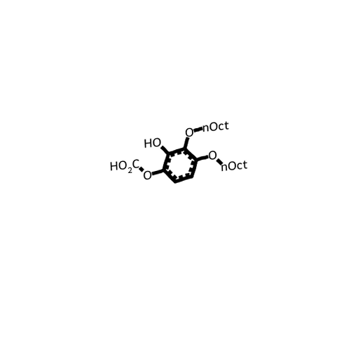 CCCCCCCCOc1ccc(OC(=O)O)c(O)c1OCCCCCCCC